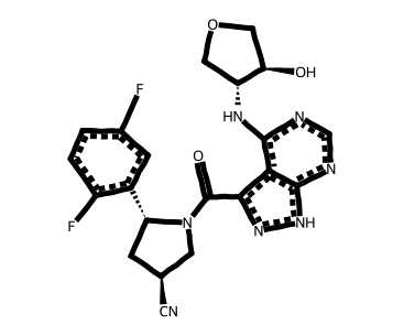 N#C[C@H]1C[C@H](c2cc(F)ccc2F)N(C(=O)c2n[nH]c3ncnc(N[C@@H]4COC[C@H]4O)c23)C1